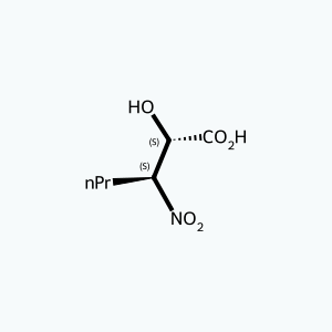 CCC[C@@H]([C@H](O)C(=O)O)[N+](=O)[O-]